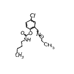 CCCCNC(=O)Oc1ccc(Cl)cc1C=NOCC